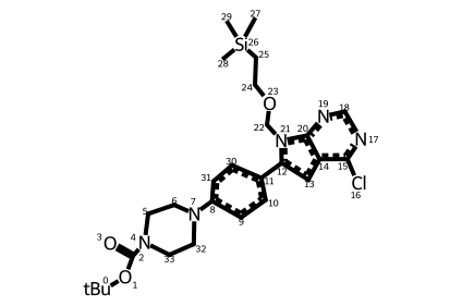 CC(C)(C)OC(=O)N1CCN(c2ccc(-c3cc4c(Cl)ncnc4n3COCC[Si](C)(C)C)cc2)CC1